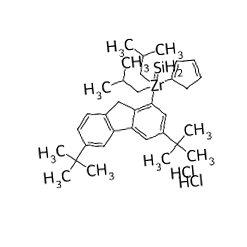 CC(C)[CH2][Zr](=[SiH2])([CH2]C(C)C)([C]1=CC=CC1)[c]1cc(C(C)(C)C)cc2c1Cc1ccc(C(C)(C)C)cc1-2.Cl.Cl